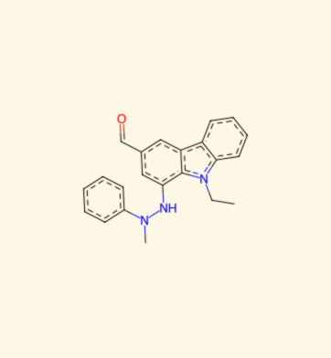 CCn1c2ccccc2c2cc(C=O)cc(NN(C)c3ccccc3)c21